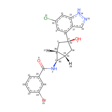 O=C(N[C@H]1[C@@H]2C[C@](O)(c3cc(Cl)cc4[nH]ncc34)C[C@@H]21)c1cccc(Br)c1